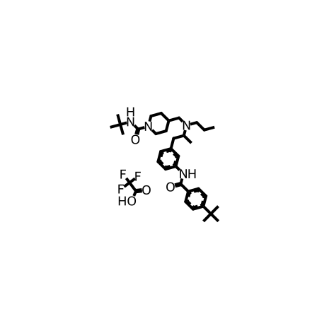 CCCN(CC1CCN(C(=O)NC(C)(C)C)CC1)C(C)Cc1cccc(NC(=O)c2ccc(C(C)(C)C)cc2)c1.O=C(O)C(F)(F)F